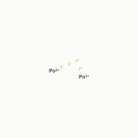 [F-].[F-].[F-].[F-].[Po+2].[Po+2]